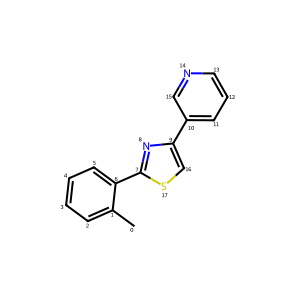 Cc1ccccc1-c1nc(-c2cccnc2)cs1